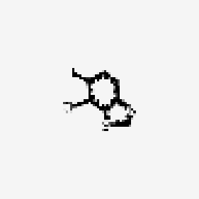 Clc1c(I)ccc2ncsc12